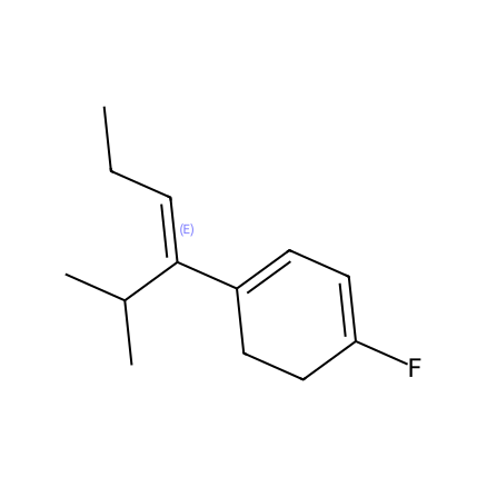 CC/C=C(/C1=CC=C(F)CC1)C(C)C